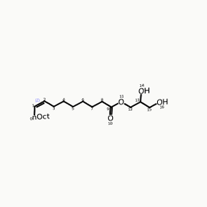 CCCCCCCC/C=C\CCCCCCC(=O)OCC(O)CO